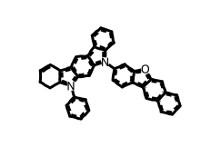 C1=Cc2c(n(-c3ccccc3)c3cc4c(cc23)c2ccccc2n4-c2ccc3c(c2)oc2cc4ccccc4cc23)CC1